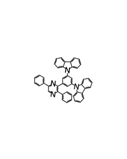 c1ccc(-c2cnc(-c3ccccc3)c(-c3cc(-n4c5ccccc5c5ccccc54)cc(-n4c5ccccc5c5ccccc54)c3)n2)cc1